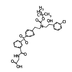 CC(C)(C)OC(=O)N(CCc1ccc(S(=O)(=O)c2cccc(C(=O)NCC(=O)O)c2)cc1)C[C@H](O)c1cccc(Cl)c1